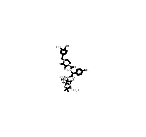 CC1(C)S[C@H]2N(C(=O)[C@@]2(NC=O)NC(=O)C(NC(=O)N2CCN(Cc3ccc(O)c(O)c3)C(=O)C2=O)c2ccc(N)cc2)[C@H]1C(=O)O